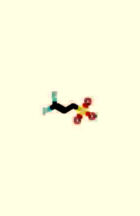 [O]S(=O)(=O)CC=C(F)F